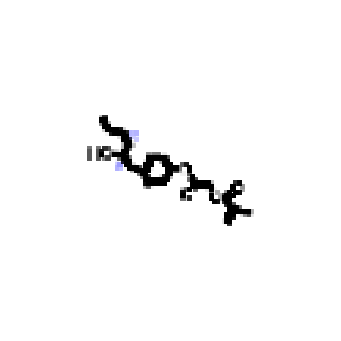 C=C(C)C(=O)OCC(=O)Oc1ccc(/C=C(O)\C=C/CC)cc1